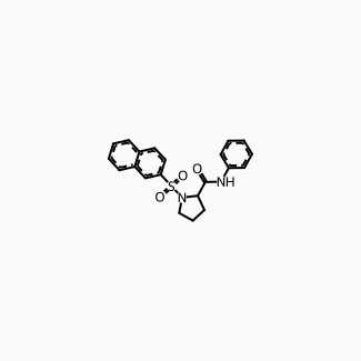 O=C(Nc1ccccc1)C1CCCN1S(=O)(=O)c1ccc2ccccc2c1